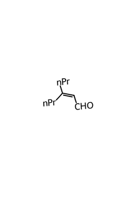 CCCC(=CC=O)CCC